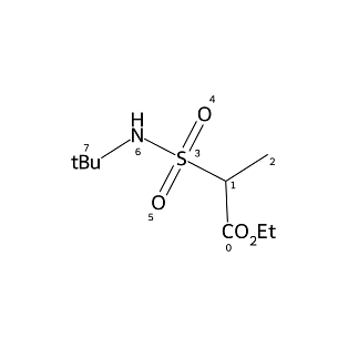 CCOC(=O)C(C)S(=O)(=O)NC(C)(C)C